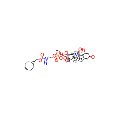 C=N[C@]12[C@@H](O)C[C@@]3(C)[C@@H](C[C@H]4OC(CCC)O[C@]43C(=O)COP(=O)(O)OCCNC(=O)OCC3C4CCC#CCCC43)[C@@H]1CCC1=CC(=O)C=C[C@@]12C